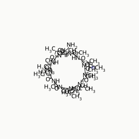 C/C=C/C[C@@H](C)C[C@H]1C(=O)N[C@@H](CC)C(=O)N(C)[C@H](CCN)C(=O)N(C)[C@@H](CC(C)C)C(=O)N[C@H](C(C)C)C(=O)N(C)[C@H](CC(C)C)C(=O)N[C@H](C)C(=O)N[C@@H](C)C(=O)N(C)[C@@H](CC(C)C)C(=O)N(C)[C@@H](CC(C)C)C(=O)N(C)[C@@H](C(C)C)C(=O)N1C